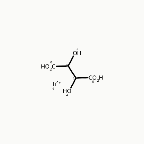 O=C(O)C(O)C(O)C(=O)O.[Ti+4]